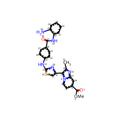 COC(=O)c1ccn2c(-c3csc(Nc4ccc(C(=O)Nc5ccccc5N)cc4)n3)c(C)nc2c1